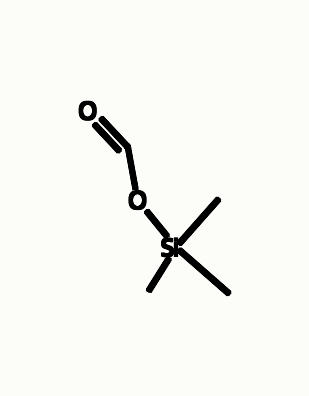 C[Si](C)(C)OC=O